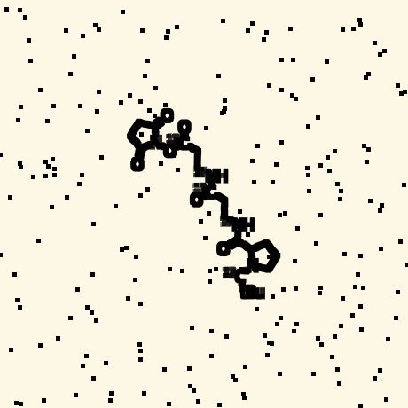 [13CH3][13C]([13CH3])([13CH3])[13CH2]N1CCCC1C(=O)[15NH]CC[13C](=O)[15NH]CC[13C](=O)ON1C(=O)CCC1=O